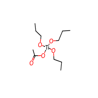 CCC[O][Ti]([O]CCC)([O]CCC)[O]C(C)=O